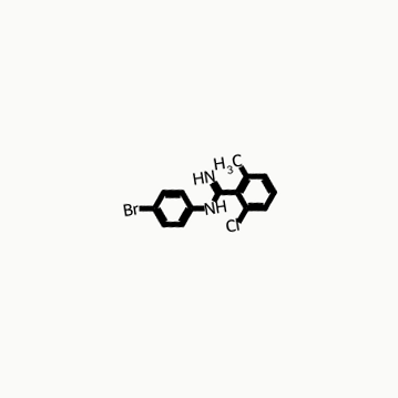 Cc1cccc(Cl)c1C(=N)Nc1ccc(Br)cc1